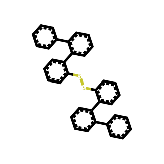 c1ccc(-c2ccccc2-c2ccccc2SSc2ccccc2-c2ccccc2-c2ccccc2)cc1